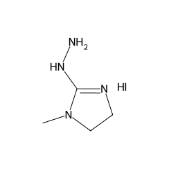 CN1CCN=C1NN.I